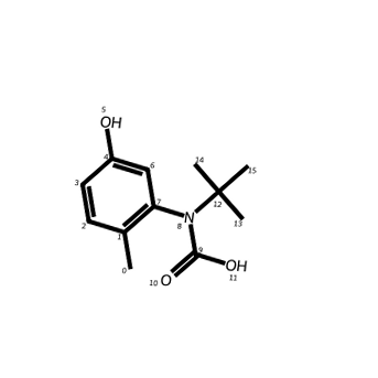 Cc1ccc(O)cc1N(C(=O)O)C(C)(C)C